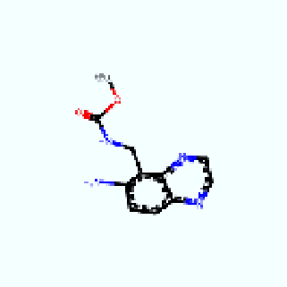 CC(C)(C)OC(=O)NCc1c(N)ccc2nccnc12